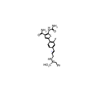 CC(C)C[C@H](NC/C=C/c1ccc(-c2cc(C(N)=O)c(NC(N)=O)s2)c(F)c1)C(=O)O